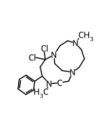 CN1CCCN2CCN(C)C(c3ccccc3)CC(Cl)(Cl)N(CC1)CC2